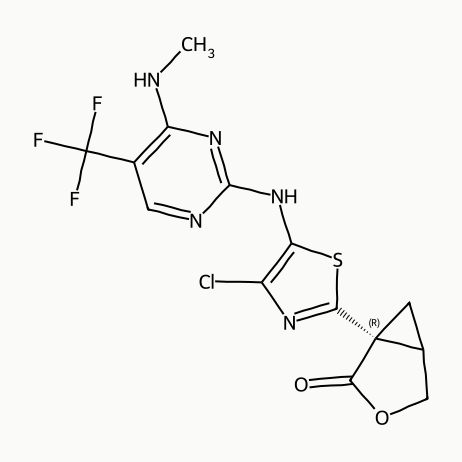 CNc1nc(Nc2sc([C@]34CC3COC4=O)nc2Cl)ncc1C(F)(F)F